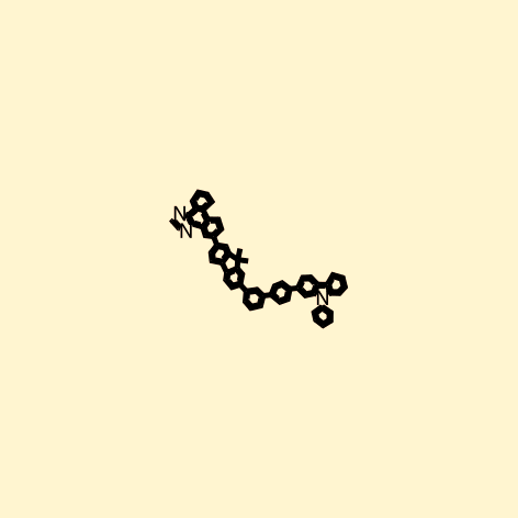 CC1(C)c2cc(-c3cccc(-c4ccc(-c5ccc6c7ccccc7n(-c7ccccc7)c6c5)cc4)c3)ccc2-c2ccc(-c3ccc4c5ccccc5c5nccnc5c4c3)cc21